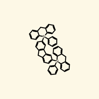 c1ccc([Si]2(c3ccc4c(c3)-c3cc([Si]5(c6ccccc6)c6ccccc6Cc6ccccc65)ccc3C4)c3ccccc3Cc3ccccc32)cc1